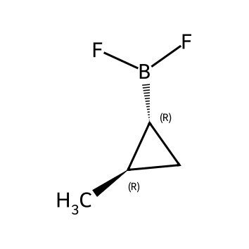 C[C@@H]1C[C@H]1B(F)F